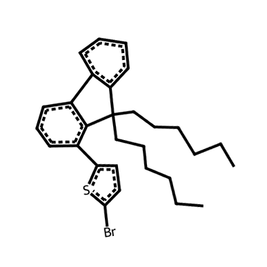 CCCCCCC1(CCCCCC)c2ccccc2-c2cccc(-c3ccc(Br)s3)c21